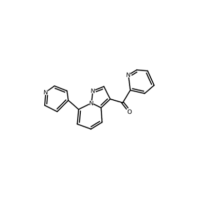 O=C(c1ccccn1)c1cnn2c(-c3ccncc3)cccc12